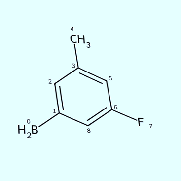 Bc1cc(C)cc(F)c1